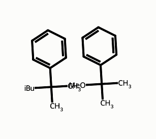 CCC(C)C(C)(C)c1ccccc1.COC(C)(C)c1ccccc1